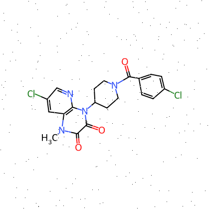 Cn1c(=O)c(=O)n(C2CCN(C(=O)c3ccc(Cl)cc3)CC2)c2ncc(Cl)cc21